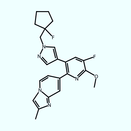 COc1nc(-c2ccn3cc(C)nc3c2)c(-c2cnn(CC3(F)CCCC3)c2)cc1F